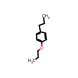 C[CH]Cc1ccc(OCCC)cc1